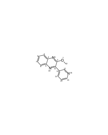 COc1nc2ccccc2nc1-c1cccnc1